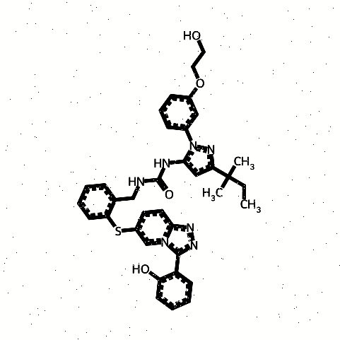 CCC(C)(C)c1cc(NC(=O)NCc2ccccc2Sc2ccc3nnc(-c4ccccc4O)n3c2)n(-c2cccc(OCCO)c2)n1